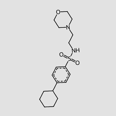 O=S(=O)(NCCN1CCOCC1)c1ccc(C2CCCCC2)cc1